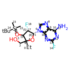 CC[C@]1(CO)O[C@@H](n2cnc3c(N)nc(F)nc32)[C@@H](F)C1O[Si](C)(C)C(C)(C)C